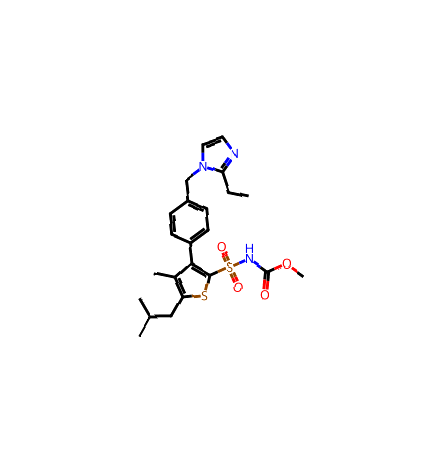 CCc1nccn1Cc1ccc(-c2c(S(=O)(=O)NC(=O)OC)sc(CC(C)C)c2C)cc1